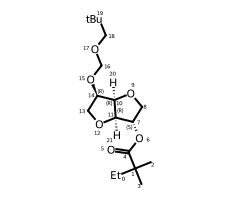 CCC(C)(C)C(=O)O[C@H]1CO[C@H]2[C@@H]1OC[C@H]2OCOCC(C)(C)C